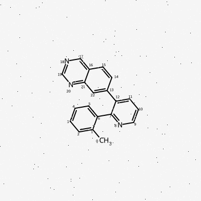 Cc1ccccc1-c1ncccc1-c1ccc2cncnc2c1